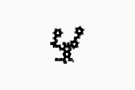 COC(=O)c1cc2c(cc1C(F)(F)F)OC(C)(c1cccc(OCc3ccccc3)c1)C(=O)N2CCNC(=O)OCc1ccccc1